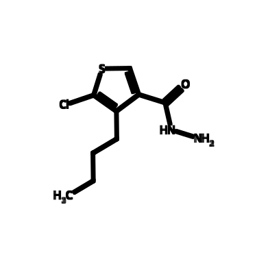 CCCCc1c(C(=O)NN)csc1Cl